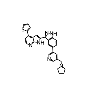 c1csc(-c2ccnc3[nH]c(-c4n[nH]c5ccc(-c6cncc(CN7CCCC7)c6)cc45)cc23)c1